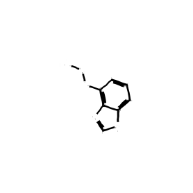 OBOc1cccc2[nH]cnc12